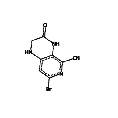 N#Cc1nc(Br)cc2c1NC(=O)CN2